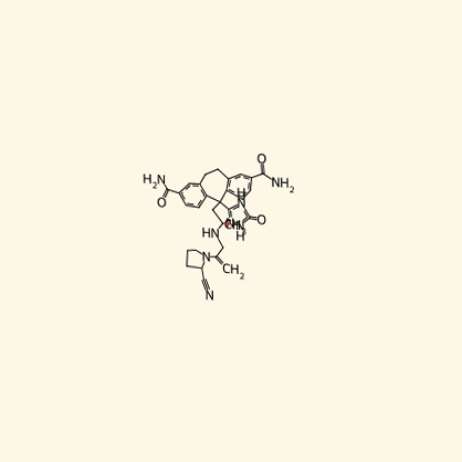 C=C(CN[C@@H](C)CC1(c2n[nH]c(=O)[nH]2)c2ccc(C(N)=O)cc2CCc2cc(C(N)=O)ccc21)N1CCCC1C#N